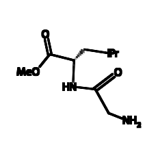 COC(=O)[C@H](CC(C)C)NC(=O)CN